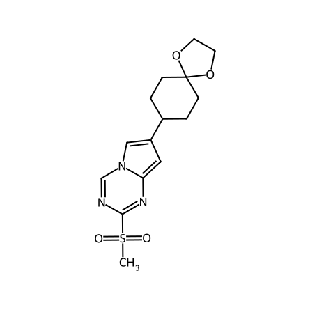 CS(=O)(=O)c1ncn2cc(C3CCC4(CC3)OCCO4)cc2n1